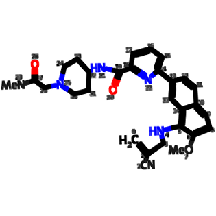 C=C(C#N)CNc1c(OC)ccc2ccc(-c3cccc(C(=O)NC4CCN(CC(=O)NC)CC4)n3)cc12